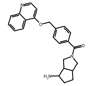 NC1CCC2CN(C(=O)c3ccc(COc4ccnc5ccccc45)cc3)CC12